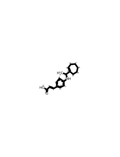 CC(Nc1ccc(C=CC(=O)O)cc1)C1=CCCCCC1